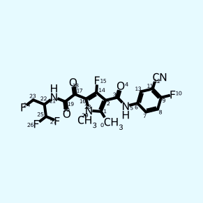 Cc1c(C(=O)Nc2ccc(F)c(C#N)c2)c(F)c(C(=O)C(=O)NC(CF)C(F)F)n1C